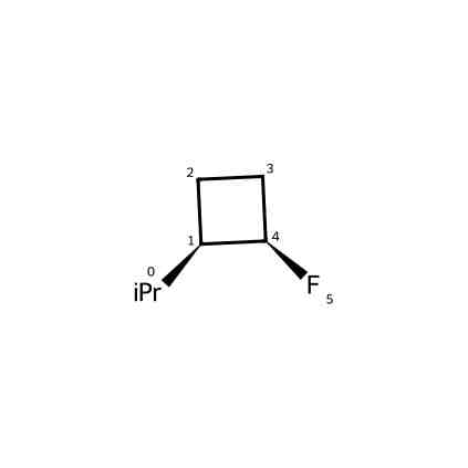 CC(C)[C@H]1CC[C@H]1F